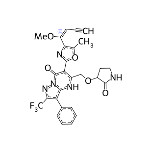 C#C/C=C(/OC)c1nc(-c2c(COC3CCNC3=O)[nH]c3c(-c4ccccc4)c(C(F)(F)F)nn3c2=O)oc1C